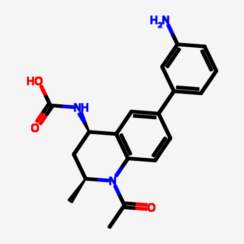 CC(=O)N1c2ccc(-c3cccc(N)c3)cc2[C@H](NC(=O)O)C[C@@H]1C